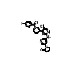 O=C(c1ccc(F)cc1)N1CCCC(c2nc(Nc3cncc(N4CCCC4=O)c3)ncc2Cl)C1